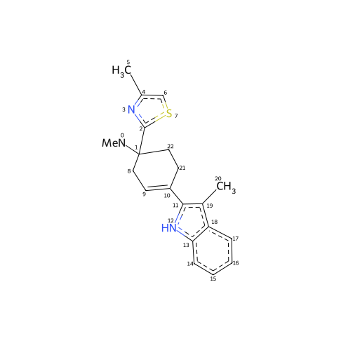 CNC1(c2nc(C)cs2)CC=C(c2[nH]c3ccccc3c2C)CC1